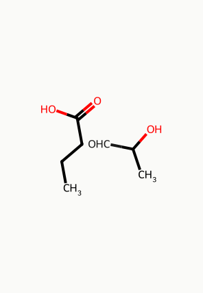 CC(O)C=O.CCCC(=O)O